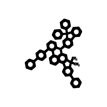 CC1(C)c2cc(-c3ccccc3)ccc2-c2ccc(N(c3ccc4c(c3)C(c3ccccc3)(c3ccccc3)c3ccccc3-4)c3cccc(-c4ccc(-c5ccccc5)cc4)c3-c3ccccc3)cc21